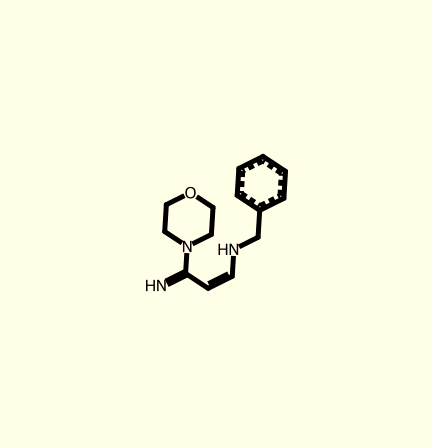 N=C(/C=C\NCc1ccccc1)N1CCOCC1